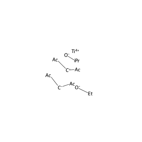 CC(=O)[CH-]C(C)=O.CC(=O)[CH-]C(C)=O.CC(C)[O-].CC[O-].[Ti+4]